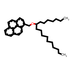 CCCCCCCCCCC(CCCCCCC)OCc1ccc2ccc3cccc4ccc1c2c34